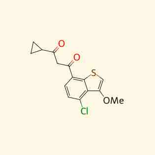 COc1csc2c(C(=O)CC(=O)C3CC3)ccc(Cl)c12